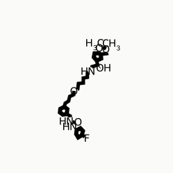 CC1(C)OCc2cc([C@H](O)CNCCCCCCOCCCCc3cccc(CNC(=O)Nc4ccc(F)cc4)c3)ccc2O1